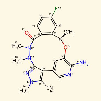 C[C@H]1Oc2cc(cnc2N)-c2c(nn(C)c2C#N)N(C)N(C)C(=O)c2ccc(F)cc21